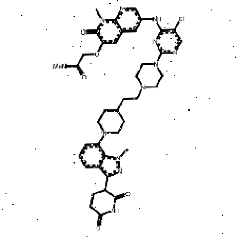 CNC(=O)COc1cc2cc(Nc3nc(N4CCN(CCC5CCN(c6cccc7c(C8CCC(=O)NC8=O)nn(C)c67)CC5)CC4)ncc3Cl)cnc2n(C)c1=O